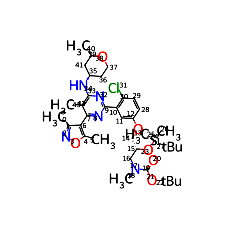 Cc1noc(C)c1-c1nc(-c2cc(OC[C@@H](CN(C)C(=O)OC(C)(C)C)O[Si](C)(C)C(C)(C)C)ccc2Cl)nc(N[C@@H]2CCO[C@H](C)C2)c1C